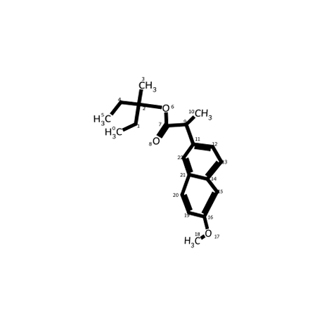 CCC(C)(CC)OC(=O)C(C)c1ccc2cc(OC)ccc2c1